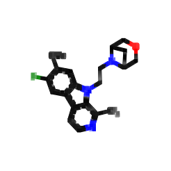 COc1cc2c(cc1F)c1ccnc(C(F)(F)F)c1n2CCN1C2COCC1C2